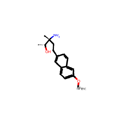 CCCCCOc1ccc2cc(CC[C@@](C)(N)[C@@H](C)O)ccc2c1